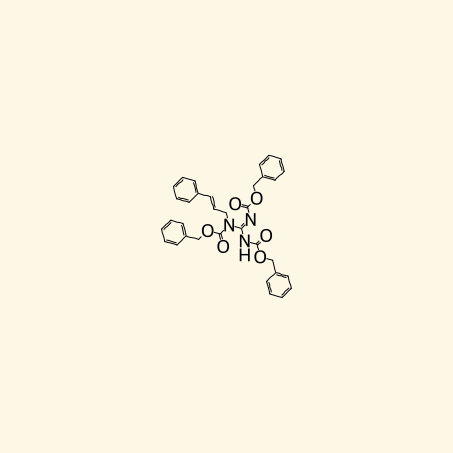 O=C(/N=C(/NC(=O)OCc1ccccc1)N(C/C=C/c1ccccc1)C(=O)OCc1ccccc1)OCc1ccccc1